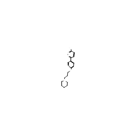 Clc1ccc(-c2ccc(OCCCN3CCCCC3)cc2)nn1